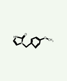 COc1ccc(Cn2cc[nH]c2=O)cc1